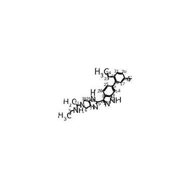 C=C(NCC)N1Cc2nc(-c3n[nH]c4cc(-c5cc(F)ccc5CC)ccc34)[nH]c2C1